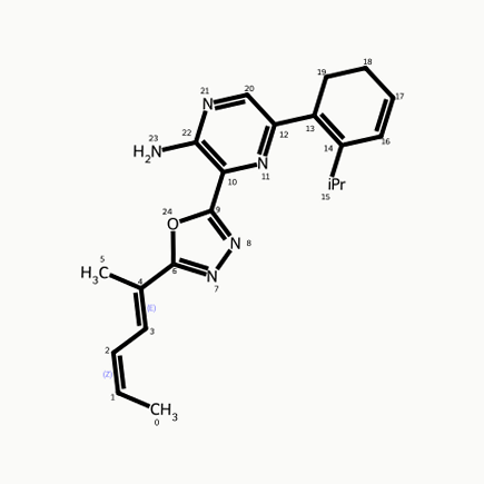 C/C=C\C=C(/C)c1nnc(-c2nc(C3=C(C(C)C)C=CCC3)cnc2N)o1